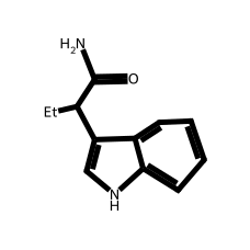 CCC(C(N)=O)c1c[nH]c2ccccc12